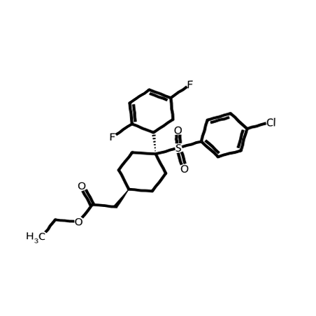 CCOC(=O)C[C@H]1CC[C@@](C2CC(F)=CC=C2F)(S(=O)(=O)c2ccc(Cl)cc2)CC1